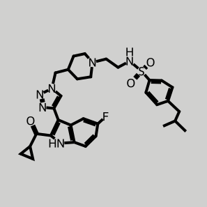 CC(C)Cc1ccc(S(=O)(=O)NCCN2CCC(Cn3cc(-c4c(C(=O)C5CC5)[nH]c5ccc(F)cc45)nn3)CC2)cc1